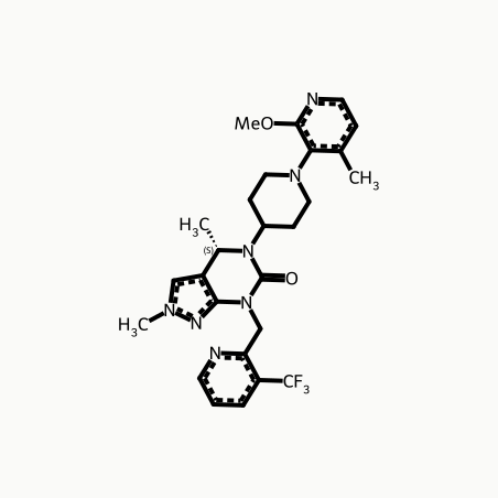 COc1nccc(C)c1N1CCC(N2C(=O)N(Cc3ncccc3C(F)(F)F)c3nn(C)cc3[C@@H]2C)CC1